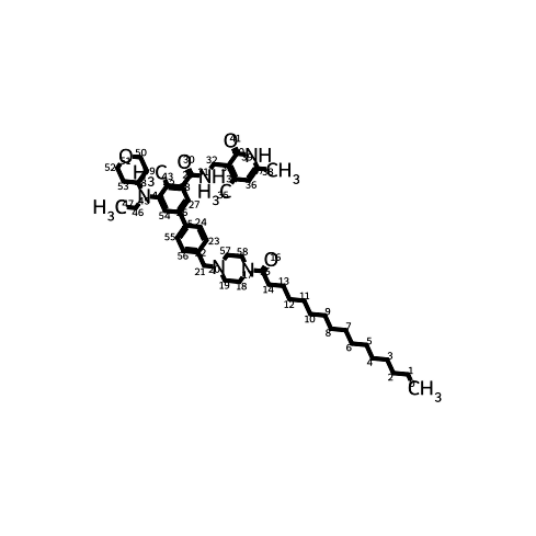 CCCCCCCCCCCCCCCC(=O)N1CCN(Cc2ccc(-c3cc(C(=O)NCc4c(C)cc(C)[nH]c4=O)c(C)c(N(CC)C4CCOCC4)c3)cc2)CC1